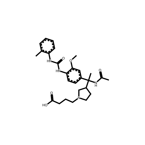 COc1cc(C(C)(NC(C)=O)C2CCN(CCCC(=O)O)C2)ccc1NC(=O)Nc1ccccc1C